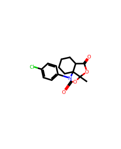 CC12OC(=O)C3CCCCC31N(c1ccc(Cl)cc1)C(=O)O2